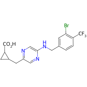 O=C(O)C1CC1Cc1cnc(NCc2ccc(C(F)(F)F)c(Br)c2)cn1